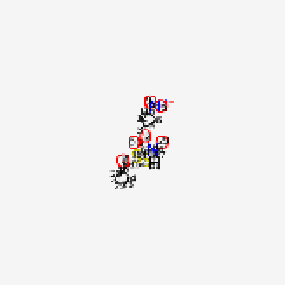 O=C(OCc1ccc([N+](=O)[O-])cc1)C1=C(SCC(=O)c2ccccc2)S[C@H]2CC(=O)N12